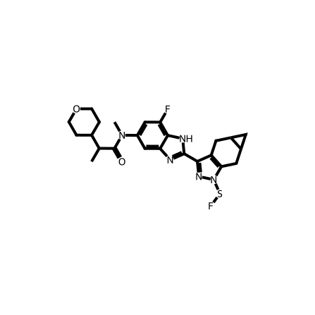 CC(C(=O)N(C)c1cc(F)c2[nH]c(-c3nn(SF)c4c3CC3CC3C4)nc2c1)C1CCOCC1